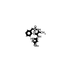 CC(NS(=O)(=O)Cc1ccccc1)C(=O)Nc1cc(C(C)(C)C)n[nH]1